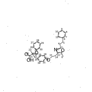 Cc1oc(CCc2ccccc2)nc1CCOc1ccc(CC(C)(Oc2ccccc2)C(=O)O)cc1